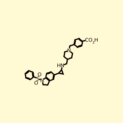 O=C(O)c1ccc(CN2CCC(CNC3CC3c3ccc4c(c3)CCN4S(=O)(=O)c3ccccc3)CC2)cc1